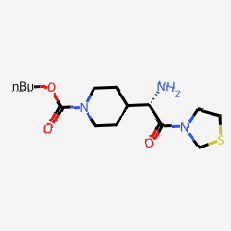 CCCCOC(=O)N1CCC([C@H](N)C(=O)N2CCSC2)CC1